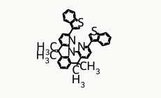 CC1(C)c2ccc(-c3csc4ccccc34)nc2N2c3nc(-c4csc5ccccc45)ccc3C(C)(C)c3cccc1c32